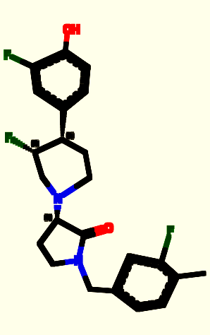 Cc1ccc(CN2CC[C@H](N3CC[C@@H](c4ccc(O)c(F)c4)[C@@H](F)C3)C2=O)cc1F